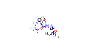 CN(C)C(=O)c1cc2n(n1)CCCN(c1nc(OC[C@@H]3CCCN3C)nc3c1COC1(CCCc4ccc(N)c(C#N)c41)C3)C2